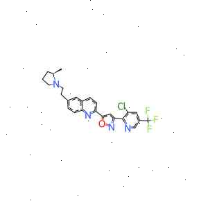 C[C@@H]1CCCN1CCc1ccc2nc(-c3cc(-c4ncc(C(F)(F)F)cc4Cl)no3)ccc2c1